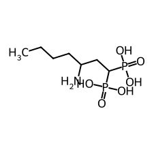 CCCCC(N)CC(P(=O)(O)O)P(=O)(O)O